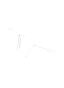 CC(C)c1ccc([N+](=O)[O-])s1